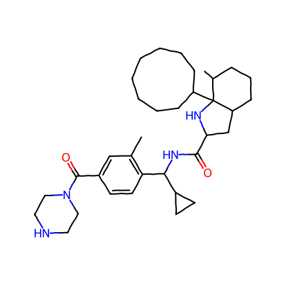 Cc1cc(C(=O)N2CCNCC2)ccc1C(NC(=O)C1CC2CCCC(C)C2(C2CCCCCCCC2)N1)C1CC1